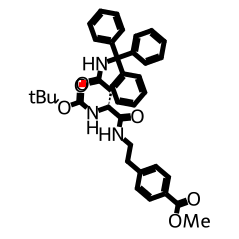 COC(=O)c1ccc(CCNC(=O)[C@@H](CC(=O)NC(c2ccccc2)(c2ccccc2)c2ccccc2)NC(=O)OC(C)(C)C)cc1